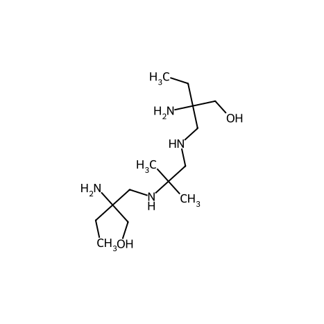 CCC(N)(CO)CNCC(C)(C)NCC(N)(CC)CO